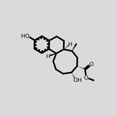 COC(=O)[C@H]1C[C@H](C)[C@@H]2CCc3cc(O)ccc3[C@H]2CCC[C@H]1O